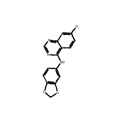 Clc1ccc2c(Nc3ccc4c(c3)OCO4)ncnc2c1